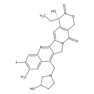 CC[C@@]1(O)C(=O)OCc2c1cc1n(c2=O)Cc2c-1nc1cc(F)c(C)cc1c2CN1CCC(O)C1